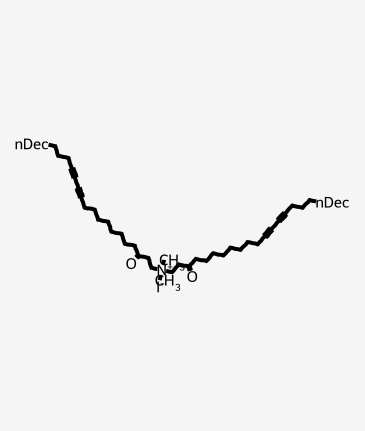 CCCCCCCCCCCCCC#CC#CCCCCCCCCC(=O)CC[N+](C)(C)CCC(=O)CCCCCCCCC#CC#CCCCCCCCCCCCCC.[I-]